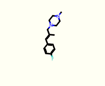 C/C(=C\c1ccc(F)cc1)CN1CCN(C)CC1